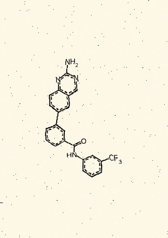 Nc1ncc2cc(-c3cccc(C(=O)Nc4cccc(C(F)(F)F)c4)c3)ccc2n1